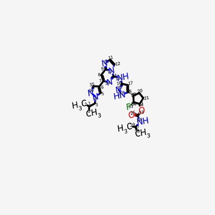 CC(C)Cn1cc(-c2cc3nccn3c(Nc3cc([C@@H]4CC[C@H](OC(=O)NC(C)C)[C@H]4F)[nH]n3)n2)cn1